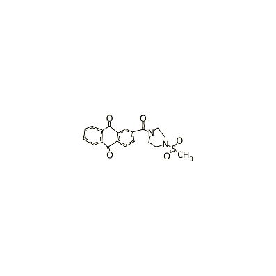 CS(=O)(=O)N1CCN(C(=O)c2ccc3c(c2)C(=O)c2ccccc2C3=O)CC1